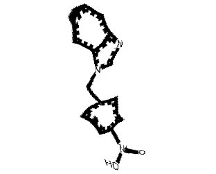 O=[N+](O)c1ccc(Cn2cnc3ccccc32)cc1